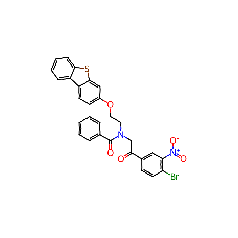 O=C(CN(CCOc1ccc2c(c1)sc1ccccc12)C(=O)c1ccccc1)c1ccc(Br)c([N+](=O)[O-])c1